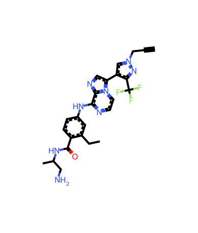 C#CCn1cc(-c2cnc3c(Nc4ccc(C(=O)NC(C)CN)c(CC)c4)nccn23)c(C(F)(F)F)n1